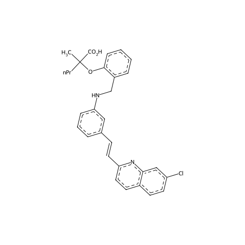 CCCC(C)(Oc1ccccc1CNc1cccc(C=Cc2ccc3ccc(Cl)cc3n2)c1)C(=O)O